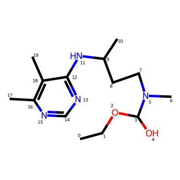 CCOC(O)N(C)CCC(C)Nc1ncnc(C)c1C